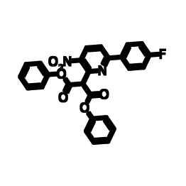 O=C(Oc1ccccc1)C(C(=O)Oc1ccccc1)c1nc(-c2ccc(F)cc2)ccc1[N+](=O)[O-]